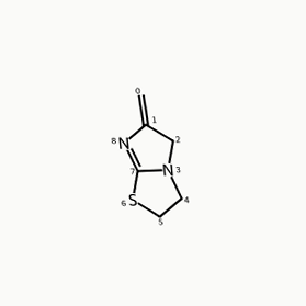 C=C1CN2CCSC2=N1